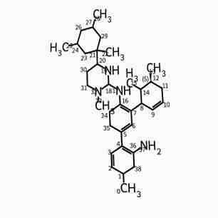 CC1C=CC(C2=CC(C3C=CC[C@H](C)C3C)=C(NC3NC(C4(C)CC(C)CC(C)C4)CCN3C)CC2)=C(N)C1